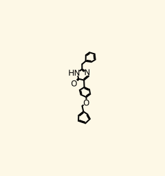 O=c1[nH]c(Cc2ccccc2)ncc1-c1ccc(OCc2ccccc2)cc1